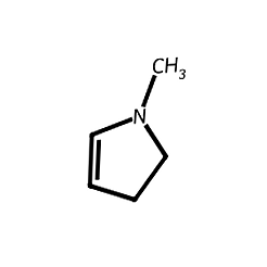 CN1C=CCC1